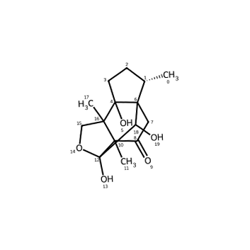 C[C@H]1CCC2(O)C13CC(=O)C1(C)C(O)(OCC21C)C3O